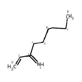 C=CC(=N)CCCCC